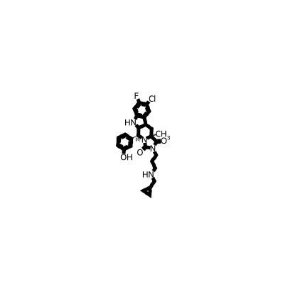 C[C@@]12CC3c4cc(Cl)c(F)cc4NC3[C@@H](c3cccc(O)c3)N1C(=O)N(CCCNCC1CC1)C2=O